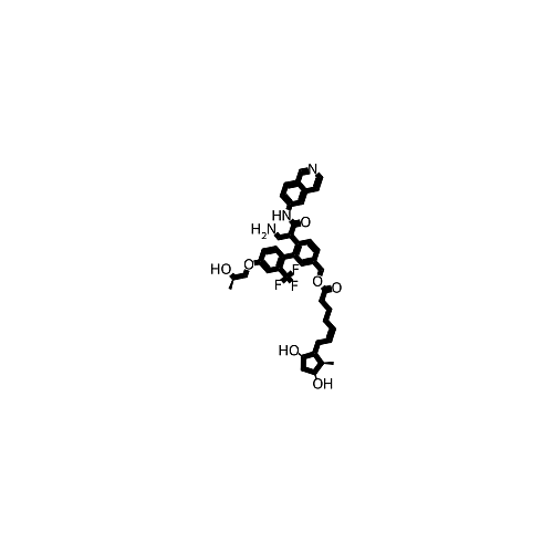 C[C@@H]1C(C/C=C\CCCC(=O)OCc2ccc(C(CN)C(=O)Nc3ccc4cnccc4c3)c(-c3ccc(OC[C@@H](C)O)cc3C(F)(F)F)c2)[C@@H](O)C[C@H]1O